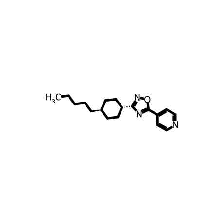 CCCCC[C@H]1CC[C@H](c2noc(-c3ccncc3)n2)CC1